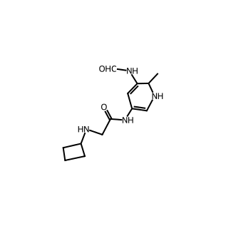 CC1NC=C(NC(=O)CNC2CCC2)C=C1NC=O